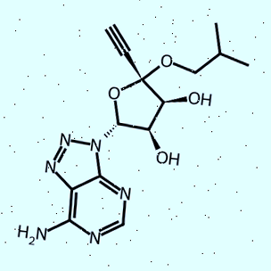 C#C[C@]1(OCC(C)C)O[C@@H](n2nnc3c(N)ncnc32)[C@H](O)[C@@H]1O